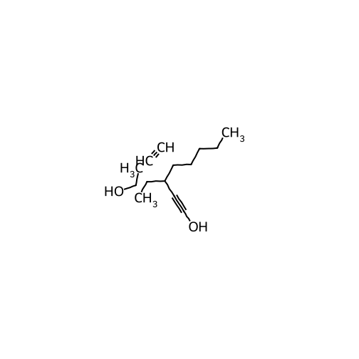 C#C.CCCCCC(C#CO)CC.CCO